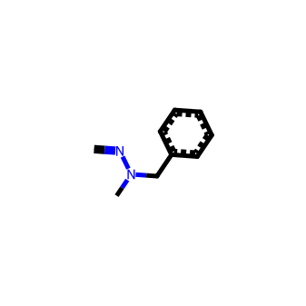 C=NN(C)Cc1ccccc1